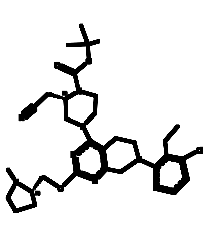 CCc1c(Cl)cccc1N1CCc2c(nc(OC[C@@H]3CCCN3C)nc2N2CCN(C(=O)OC(C)(C)C)[C@@H](CC#N)C2)C1